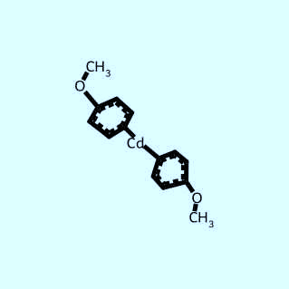 COc1cc[c]([Cd][c]2ccc(OC)cc2)cc1